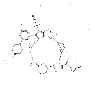 C[C@H]1C[C@@H]1C(=O)N[C@H]1Cc2nc(cs2)-c2ccc3c(c2)c(c(-c2cncc(N4CCN(C)CC4)c2)n3C(C)(C)C#N)CC(C)(C)COC(=O)[C@@H]2CCCN(N2)C1=O